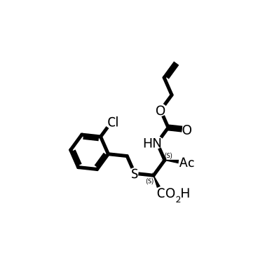 C=CCOC(=O)N[C@@H](C(C)=O)[C@H](SCc1ccccc1Cl)C(=O)O